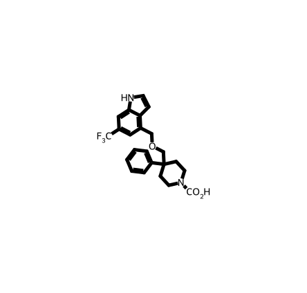 O=C(O)N1CCC(COCc2cc(C(F)(F)F)cc3[nH]ccc23)(c2ccccc2)CC1